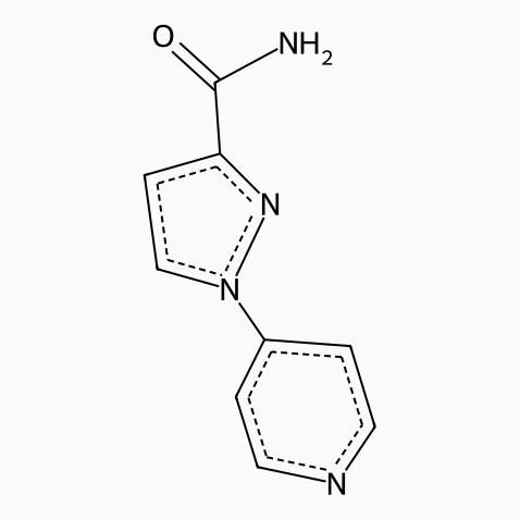 NC(=O)c1ccn(-c2ccncc2)n1